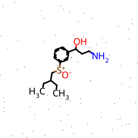 CCC(CC)C[S+]([O-])c1cccc(C(O)CCN)c1